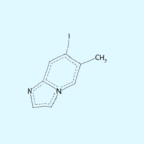 Cc1cn2ccnc2cc1I